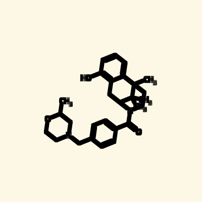 CC1CN(Cc2ccc(C(=O)N3CCC4(C)c5cccc(O)c5CC3C4(C)C)cc2)CCO1